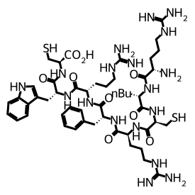 CCCC[C@H](NC(=O)[C@@H](N)CCCNC(=N)N)C(=O)N[C@@H](CS)C(=O)N[C@@H](CCCNC(=N)N)C(=O)N[C@H](Cc1ccccc1)C(=O)N[C@@H](CCCNC(=N)N)C(=O)N[C@H](Cc1c[nH]c2ccccc12)C(=O)N[C@@H](CS)C(=O)O